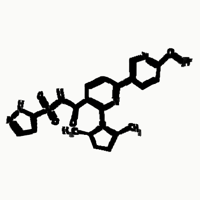 CC(C)Oc1ccc(-c2ccc(C(=O)NS(=O)(=O)c3ccn[nH]3)c(N3[C@H](C)CC[C@@H]3C)n2)cn1